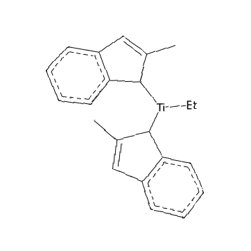 C[CH2][Ti]([CH]1C(C)=Cc2ccccc21)[CH]1C(C)=Cc2ccccc21